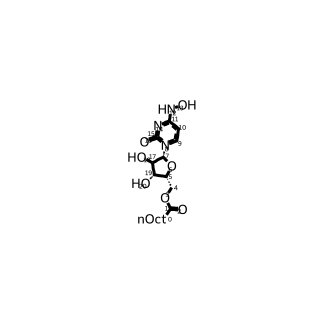 CCCCCCCCC(=O)OC[C@H]1O[C@@H](n2ccc(NO)nc2=O)C(O)[C@H]1O